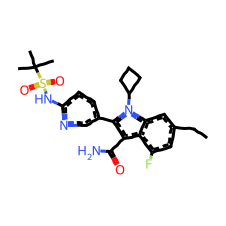 CCc1cc(F)c2c(C(N)=O)c(-c3ccc(NS(=O)(=O)C(C)(C)C)nc3)n(C3CCC3)c2c1